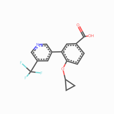 O=C(O)c1ccc(OC2CC2)c(-c2cncc(C(F)(F)F)c2)c1